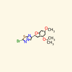 COc1cc(OC(C)C)c2cc(-c3cn4nc(Br)sc4n3)oc2c1